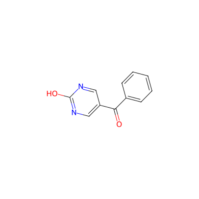 O=C(c1ccccc1)c1cnc(O)nc1